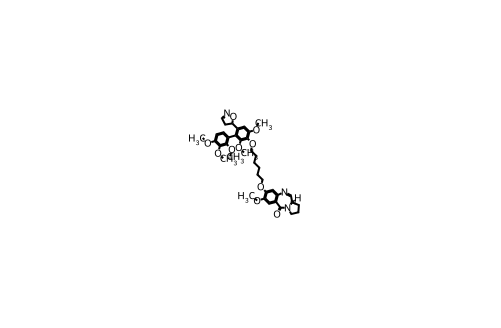 COc1cc2c(cc1OCCCCCCOc1c(OC)cc(C3CC=NO3)c(-c3ccc(OC)c(OC)c3OC)c1OC)N=C[C@@H]1CCCN1C2=O